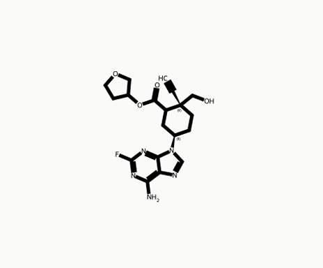 C#C[C@@]1(CO)CC[C@@H](n2cnc3c(N)nc(F)nc32)CC1C(=O)OC1CCOC1